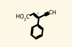 C#C/C(=C/C(=O)O)c1ccccc1